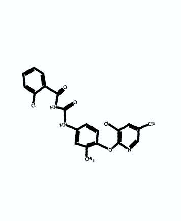 Cc1cc(NC(=O)NC(=O)c2ccccc2Cl)ccc1Oc1ncc(C#N)cc1Cl